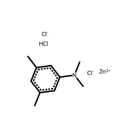 Cc1cc(C)cc(N(C)C)c1.Cl.[Cl-].[Cl-].[Zn+2]